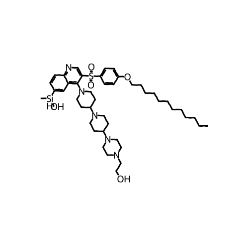 CCCCCCCCCCCCOc1ccc(S(=O)(=O)c2cnc3ccc([SiH](C)O)cc3c2N2CCC(N3CCC(N4CCN(CCO)CC4)CC3)CC2)cc1